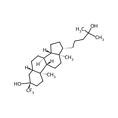 CC(C)(O)CCC[C@H]1CC[C@H]2[C@@H]3CC[C@H]4C[C@](O)(C(F)(F)F)CC[C@]4(C)[C@H]3CC[C@]12C